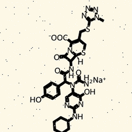 Cn1nnnc1SCC1=C(C(=O)[O-])N2C(=O)C(NC(=O)C(c3ccc(O)cc3)N(C(N)=O)c3cnc(NC4CCCCC4)nc3O)[C@@H]2SC1.[Na+]